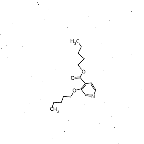 CCCCCOC(=O)c1ccncc1OCCCCC